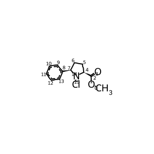 COC(=O)[C@@H]1CC[C@H](c2ccccc2)N1Cl